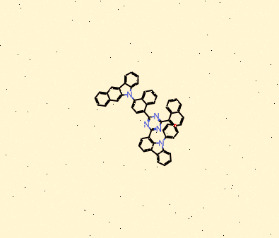 c1ccc(-n2c3ccccc3c3cccc(-c4nc(-c5cccc6ccccc56)nc(-c5ccc(-n6c7ccccc7c7cc8ccccc8cc76)c6ccccc56)n4)c32)cc1